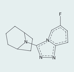 Fc1ccc2nnc(N3C4CCCC3CC4)n2c1